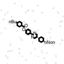 CCCCCCCCC[C@H]1CC[C@H](c2cnc(-c3ccc(OC(=O)C4CCC(CCCC)CC4)cc3)nc2)CC1